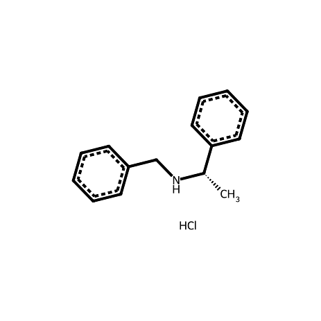 C[C@H](NCc1ccccc1)c1ccccc1.Cl